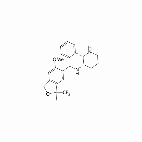 COc1cc2c(cc1CN[C@H]1CCCN[C@H]1c1ccccc1)C(C)(C(F)(F)F)OC2